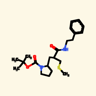 CSCC(CC1CCCN1C(=O)OC(C)(C)C)C(=O)NCCc1ccccc1